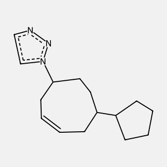 C1=C\CC(n2ccnn2)CCC(C2CCCC2)C/1